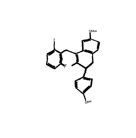 COc1ccc(C2Cc3ccc(OC)cc3C(Cc3c(F)cccc3F)=C2C)cc1